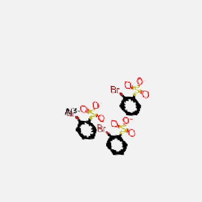 O=S(=O)([O-])c1ccccc1Br.O=S(=O)([O-])c1ccccc1Br.O=S(=O)([O-])c1ccccc1Br.[Al+3]